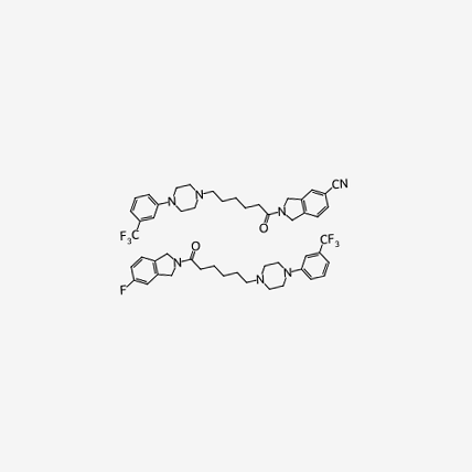 N#Cc1ccc2c(c1)CN(C(=O)CCCCCN1CCN(c3cccc(C(F)(F)F)c3)CC1)C2.O=C(CCCCCN1CCN(c2cccc(C(F)(F)F)c2)CC1)N1Cc2ccc(F)cc2C1